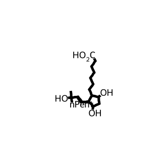 CCCCCC(C)(O)C=CC1C(O)CC(O)C1CCCCCCC(=O)O